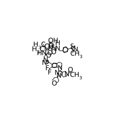 CC(=O)N1CCc2c(c(N3CCCc4cc(-c5cnn(CC(=O)N[C@H](C(=O)N6C[C@H](O)C[C@H]6C(=O)NCc6ccc(-c7scnc7C)cc6)C(C)(C)C)c5)c(C(F)F)cc43)nn2C2CCOCC2)C1